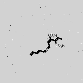 C=CC=CC=C=CC=C(C(=O)O)C(=CC)C(=O)O